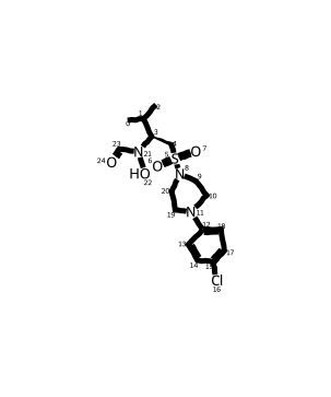 CC(C)[C@@H](CS(=O)(=O)N1CCN(c2ccc(Cl)cc2)CC1)N(O)C=O